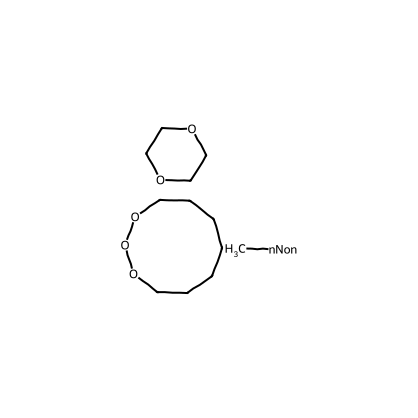 C1CCCOOOCCC1.C1COCCO1.CCCCCCCCCC